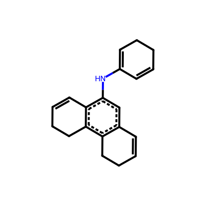 C1=CC(Nc2cc3c(c4c2C=CCC4)CCC=C3)=CCC1